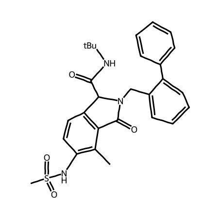 Cc1c(NS(C)(=O)=O)ccc2c1C(=O)N(Cc1ccccc1-c1ccccc1)C2C(=O)NC(C)(C)C